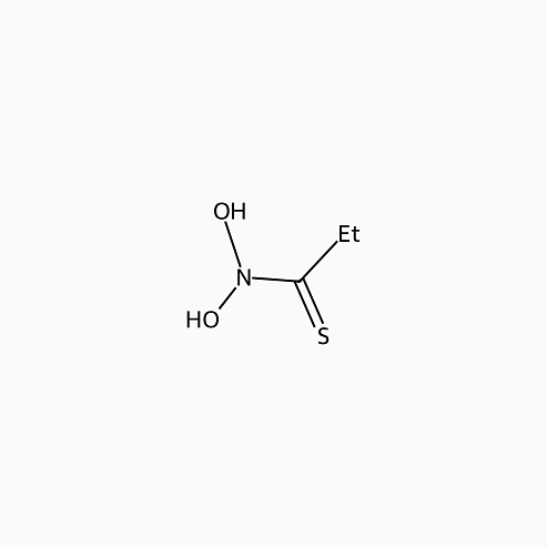 CCC(=S)N(O)O